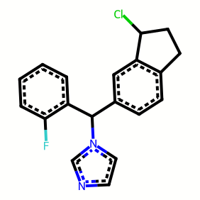 Fc1ccccc1C(c1ccc2c(c1)C(Cl)CC2)n1ccnc1